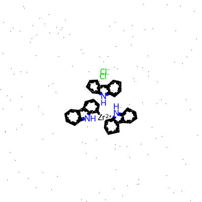 [Cl-].[Cl-].c1ccc2c(c1)[nH]c1[c]([Zr+2][c]3cccc4c3[nH]c3ccccc34)cccc12.c1ccc2c(c1)[nH]c1ccccc12